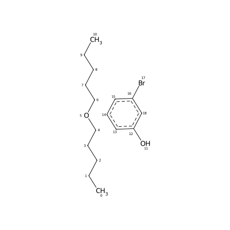 CCCCCOCCCCC.Oc1cccc(Br)c1